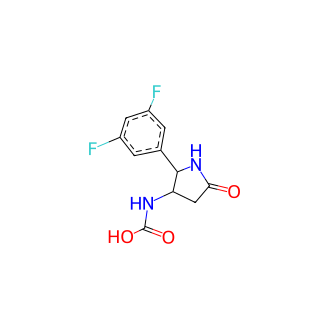 O=C(O)NC1CC(=O)NC1c1cc(F)cc(F)c1